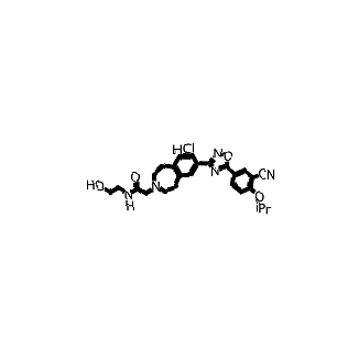 CC(C)Oc1ccc(-c2nc(-c3ccc4c(c3)CCN(CC(=O)NCCO)CC4)no2)cc1C#N.Cl